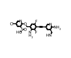 N=Cc1cc(C#Cc2c(F)cc(COc3ncc(Cl)cc3S(=O)O)c(N)c2F)cnc1N